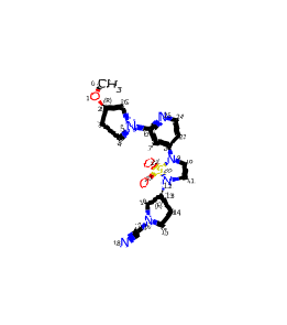 CO[C@@H]1CCN(c2cc(N3CCN([C@@H]4CCN(C#N)C4)S3(=O)=O)ccn2)C1